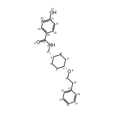 O=C(NC[C@H]1CC[C@@H](OCCc2ccccc2)CC1)c1ccc(O)nc1